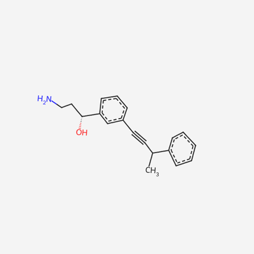 CC(C#Cc1cccc([C@H](O)CCN)c1)c1ccccc1